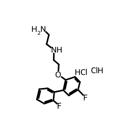 Cl.Cl.NCCNCCOc1ccc(F)cc1-c1ccccc1F